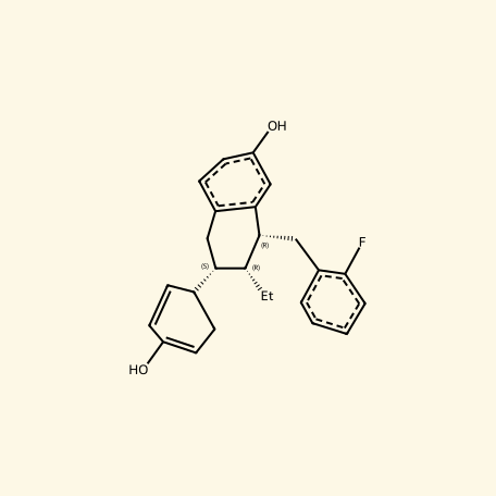 CC[C@H]1[C@@H](Cc2ccccc2F)c2cc(O)ccc2C[C@H]1C1C=CC(O)=CC1